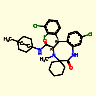 CN1[C@@H](C(=O)NC23CCC(C)(CC2)CC3)[C@H](c2cccc(Cl)c2F)c2ccc(Cl)cc2NC(=O)C12CCCCC2